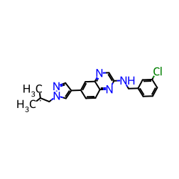 C[C](C)Cn1cc(-c2ccc3nc(NCc4cccc(Cl)c4)cnc3c2)cn1